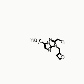 O=C(O)c1cnc2n(CC3CCO3)c(CCl)nn12